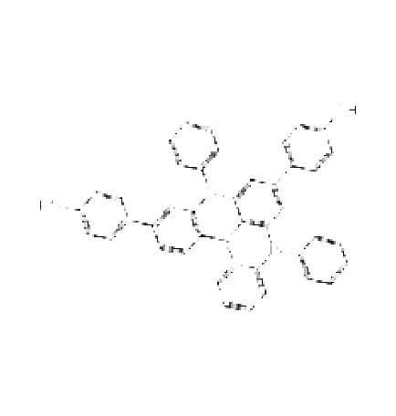 Oc1ccc(-c2ccc3c(c2)B(c2ccccc2)c2cc(-c4ccc(O)cc4)cc4c2N3c2ccccc2B4c2ccccc2)cc1